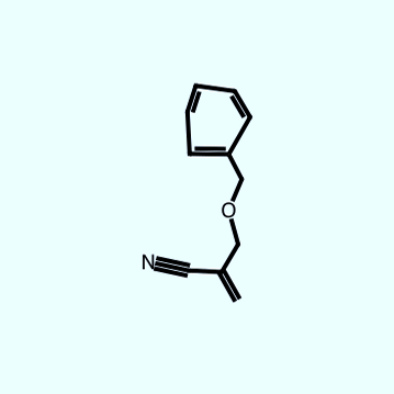 C=C(C#N)COCc1ccccc1